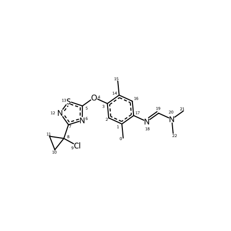 Cc1cc(Oc2nc(C3(Cl)CC3)ns2)c(C)cc1N=CN(C)C